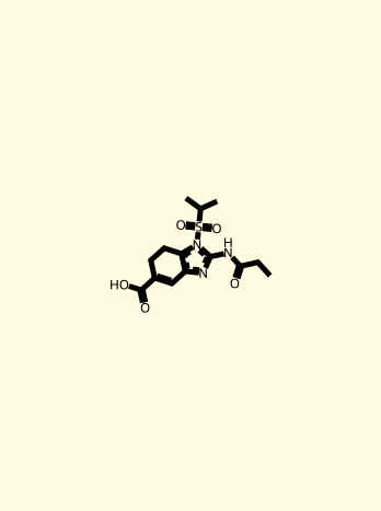 CCC(=O)Nc1nc2c(n1S(=O)(=O)C(C)C)CCC(C(=O)O)=C2